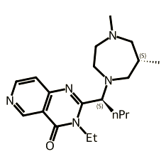 CCC[C@@H](c1nc2ccncc2c(=O)n1CC)N1CCN(C)C[C@H](C)C1